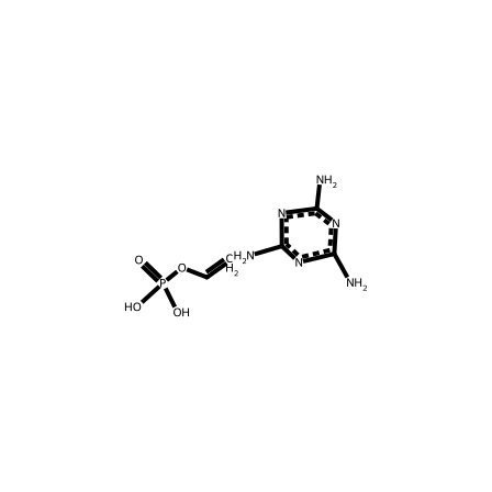 C=COP(=O)(O)O.Nc1nc(N)nc(N)n1